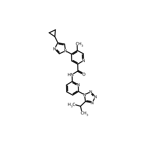 Cc1cnc(C(=O)Nc2cccc(-n3nnnc3C(C)C)n2)cc1-n1cnc(C2CC2)c1